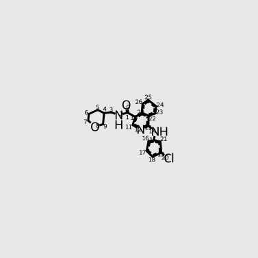 O=C(NCC1CCCOC1)c1cnc(Nc2cccc(Cl)c2)c2ccccc12